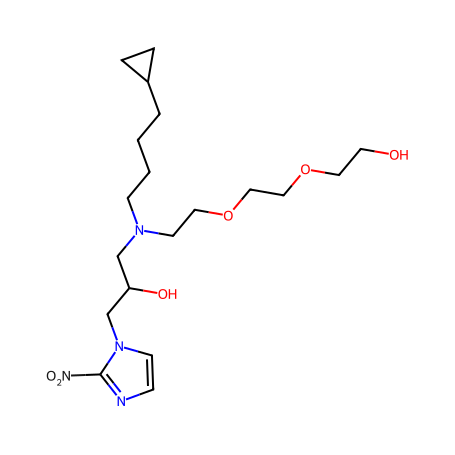 O=[N+]([O-])c1nccn1CC(O)CN(CCCCC1CC1)CCOCCOCCO